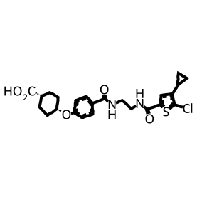 O=C(NCCNC(=O)c1cc(C2CC2)c(Cl)s1)c1ccc(O[C@H]2CC[C@@H](C(=O)O)CC2)cc1